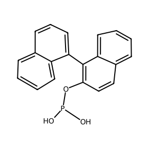 OP(O)Oc1ccc2ccccc2c1-c1cccc2ccccc12